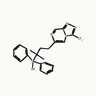 CC(C)(CCc1cn2c(C(F)(F)F)nnc2cn1)[Si](O)(c1ccccc1)c1ccccc1